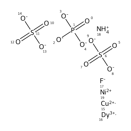 O=P([O-])([O-])[O-].O=S(=O)([O-])[O-].O=S(=O)([O-])[O-].[Cu+2].[Dy+3].[F-].[NH4+].[Ni+2]